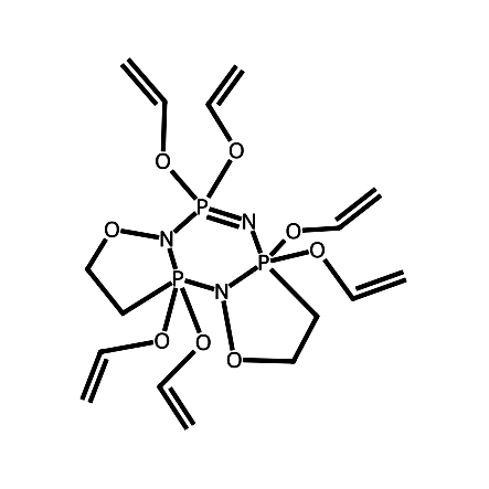 C=COP1(OC=C)=NP2(OC=C)(OC=C)CCON2P2(OC=C)(OC=C)CCON12